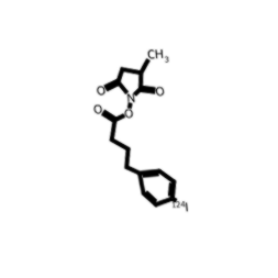 CC1CC(=O)N(OC(=O)CCCc2ccc([124I])cc2)C1=O